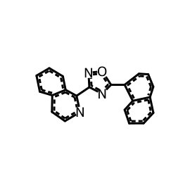 c1ccc2c(-c3nc(-c4nccc5ccccc45)no3)cccc2c1